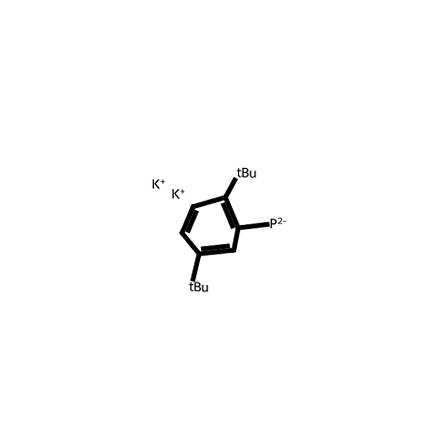 CC(C)(C)c1ccc(C(C)(C)C)c([P-2])c1.[K+].[K+]